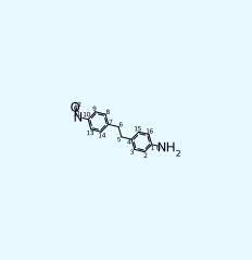 Nc1ccc(CCc2ccc(N=O)cc2)cc1